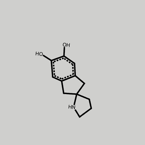 Oc1cc2c(cc1O)CC1(CCCN1)C2